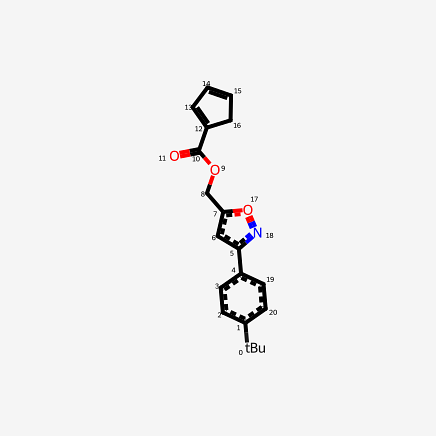 CC(C)(C)c1ccc(-c2cc(COC(=O)C3=CC=CC3)on2)cc1